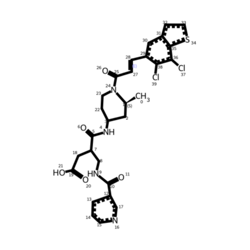 C[C@H]1CC(NC(=O)C(CNC(=O)c2cccnc2)CC(=O)O)CCN1C(=O)/C=C/c1cc2ccsc2c(Cl)c1Cl